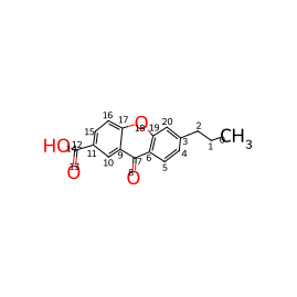 CCCc1ccc2c(=O)c3cc(C(=O)O)ccc3oc2c1